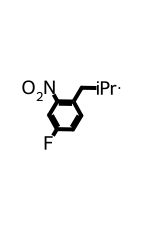 C[C](C)Cc1ccc(F)cc1[N+](=O)[O-]